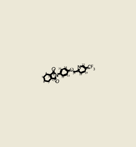 O=C1C2=C(CCCC2)C(=O)N1c1ccc(OCc2ccc(C(F)(F)F)cn2)cc1